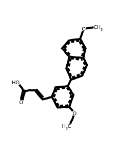 COc1cc(C=CC(=O)O)cc(-c2ccc3cc(OC)ccc3c2)c1